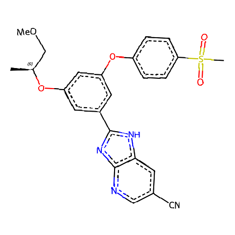 COC[C@H](C)Oc1cc(Oc2ccc(S(C)(=O)=O)cc2)cc(-c2nc3ncc(C#N)cc3[nH]2)c1